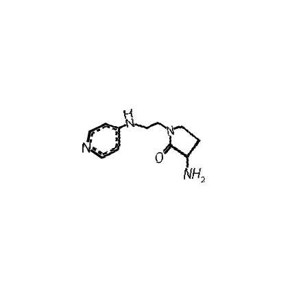 NC1CCN(CCNc2ccncc2)C1=O